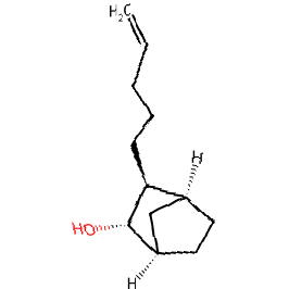 C=CCCC[C@H]1[C@H]2CC[C@H](C2)[C@@H]1O